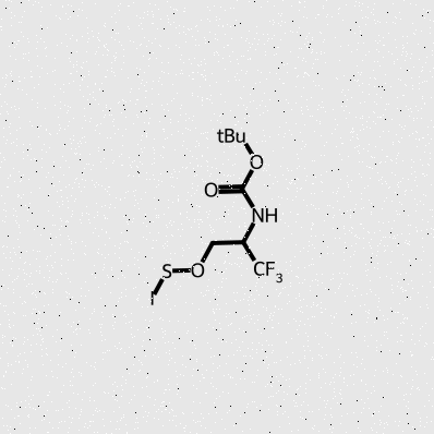 CC(C)(C)OC(=O)NC(COSI)C(F)(F)F